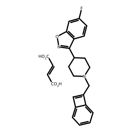 Fc1ccc2c(C3CCN(CC4=Cc5ccccc54)CC3)noc2c1.O=C(O)/C=C/C(=O)O